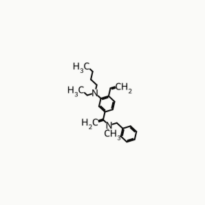 C=Cc1ccc(C(=C)N(C)Cc2ccccc2)cc1N(CC)CCCC